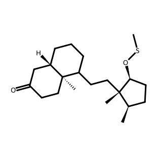 CSO[C@H]1CC[C@@H](C)[C@]1(C)CCC1CCC[C@H]2CC(=O)CC[C@]12C